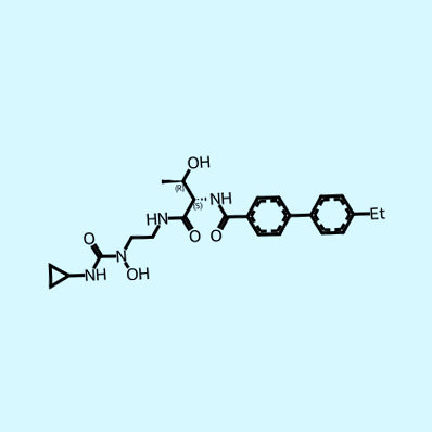 CCc1ccc(-c2ccc(C(=O)N[C@H](C(=O)NCCN(O)C(=O)NC3CC3)[C@@H](C)O)cc2)cc1